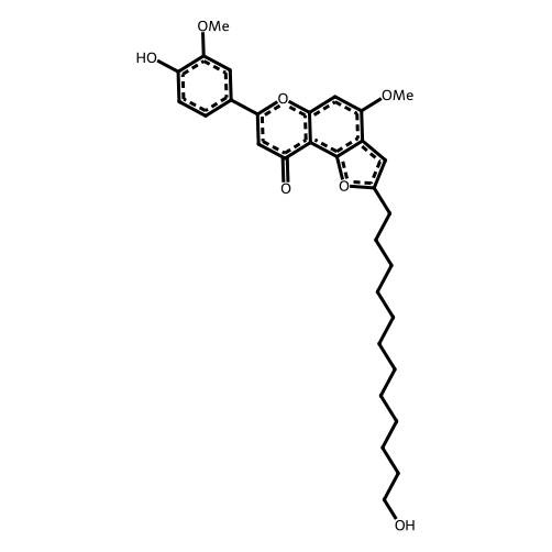 COc1cc(-c2cc(=O)c3c(cc(OC)c4cc(CCCCCCCCCCCCO)oc43)o2)ccc1O